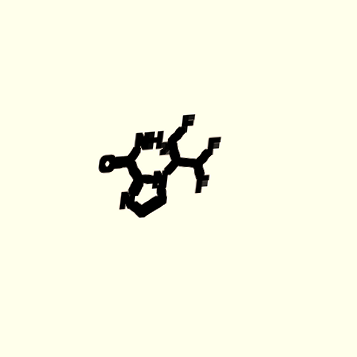 NC(=O)c1nccn1C(CF)C(F)F